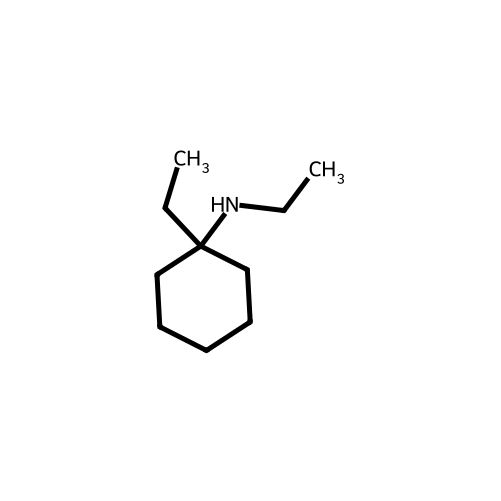 CCNC1(CC)CCCCC1